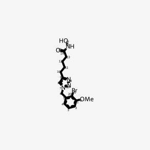 COc1cccc(Cn2cc(CCCCC(=O)NO)nn2)c1Br